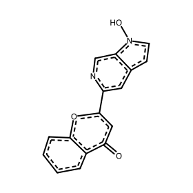 O=c1cc(-c2cc3ccn(O)c3cn2)oc2ccccc12